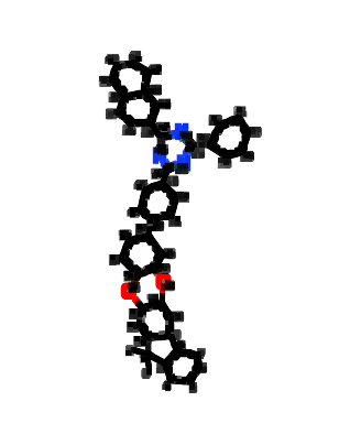 CC1(C)c2ccccc2-c2cc3c(cc21)Oc1ccc(-c2ccc(-c4nc(-c5ccccc5)nc(-c5ccc6ccccc6c5)n4)cc2)cc1O3